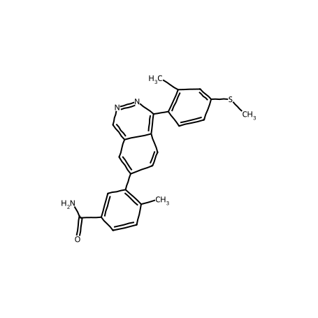 CSc1ccc(-c2nncc3cc(-c4cc(C(N)=O)ccc4C)ccc23)c(C)c1